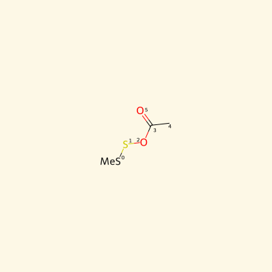 CSSOC(C)=O